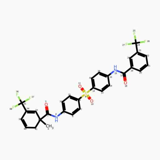 CC1(C(=O)Nc2ccc(S(=O)(=O)c3ccc(NC(=O)c4cccc(C(F)(F)F)c4)cc3)cc2)C=C(C(F)(F)F)C=CC1